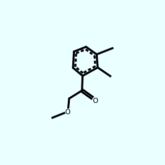 COCC(=O)c1cccc(C)c1C